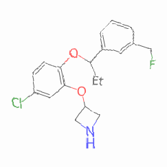 CCC(Oc1ccc(Cl)cc1OC1CNC1)c1cccc(CF)c1